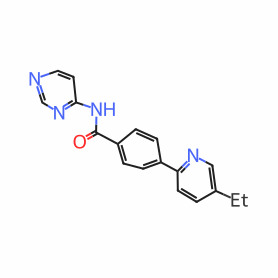 CCc1ccc(-c2ccc(C(=O)Nc3ccncn3)cc2)nc1